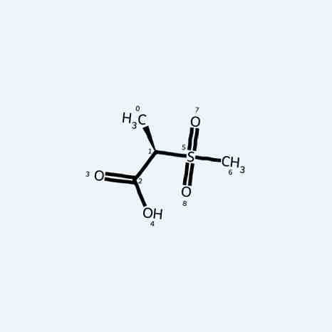 C[C@H](C(=O)O)S(C)(=O)=O